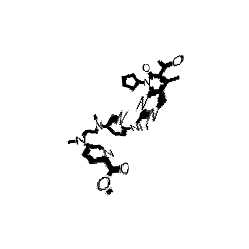 COC(=O)c1ccc(N(C)CCN(C)c2ccc(Nc3ncc4c(C)c(C(C)=O)c(=O)n(C5CCCC5)c4n3)nc2)cn1